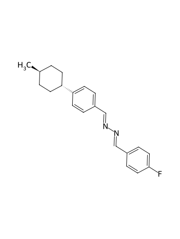 C[C@H]1CC[C@H](c2ccc(C=NN=Cc3ccc(F)cc3)cc2)CC1